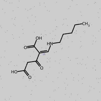 CCCCCN/C=C(\C(=O)O)C(=O)CC(=O)O